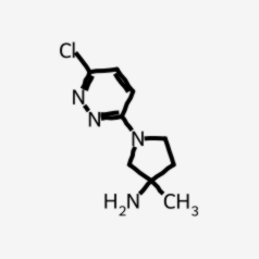 CC1(N)CCN(c2ccc(Cl)nn2)C1